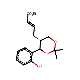 CCOC(=O)/C=C/C[C@@H]1COC(C)(C)OC1c1ccccc1O